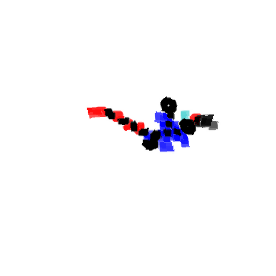 COc1ccc(Nc2nc(NCC3CCCCC3)nc(NCC3CCCN3CCOCCOCCOCCO)n2)cc1F